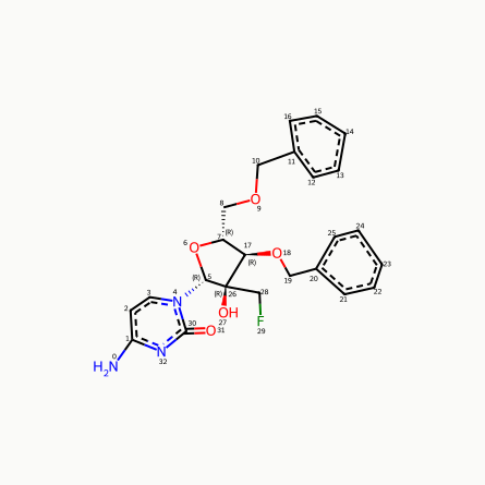 Nc1ccn([C@@H]2O[C@H](COCc3ccccc3)[C@@H](OCc3ccccc3)[C@]2(O)CF)c(=O)n1